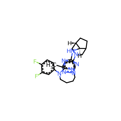 Cc1cc(N2CC3CC[C@@H](C2)[C@@H]3Nc2nc3n(n2)CCCCN3c2ccc(F)c(F)c2)cnn1